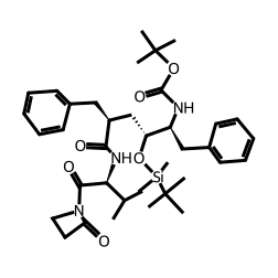 CC(C)[C@H](NC(=O)[C@@H](Cc1ccccc1)C[C@@H](O[Si](C)(C)C(C)(C)C)[C@H](Cc1ccccc1)NC(=O)OC(C)(C)C)C(=O)N1CCC1=O